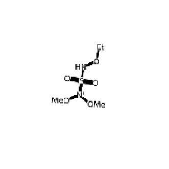 CCONS(=O)(=O)[N+](OC)OC